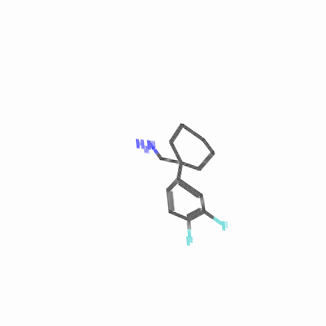 NCC1(c2ccc(F)c(F)c2)CCCCC1